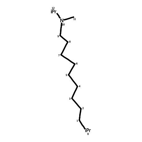 CC(C)CCCCCCCCCN(C)C(C)C